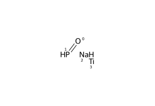 O=P.[NaH].[Ti]